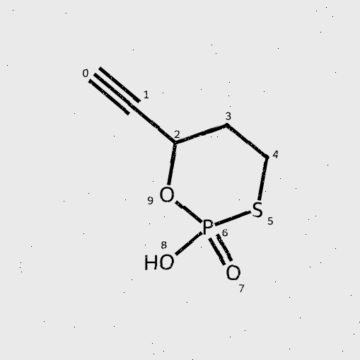 C#CC1CCSP(=O)(O)O1